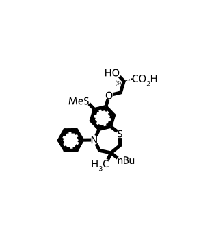 CCCCC1(C)CSc2cc(OC[C@H](O)C(=O)O)c(SC)cc2N(c2ccccc2)C1